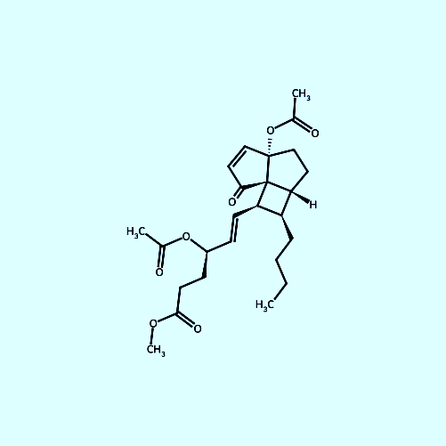 CCCC[C@H]1[C@@H](/C=C/[C@@H](CCC(=O)OC)OC(C)=O)[C@]23C(=O)C=C[C@@]2(OC(C)=O)CC[C@H]13